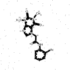 CC(=O)c1ccccc1NC(=O)Cn1cnc2c1c(=O)n(C)c(=O)n2C